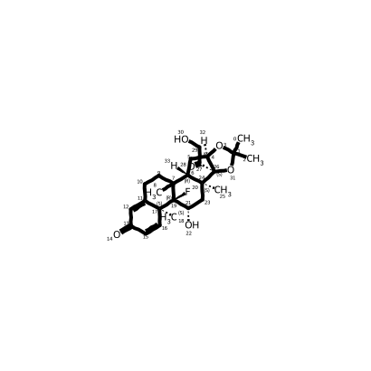 CC1(C)O[C@@H]2C[C@H]3C4(C)CCC5=CC(=O)C=C[C@]5(C)[C@@]4(F)[C@@H](O)C[C@]3(C)[C@]2(C(=O)CO)O1